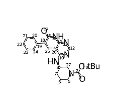 CC(C)(C)OC(=O)N1CCCC(Nc2ncnc3[nH]c(=O)c(-c4ccccc4)cc23)C1